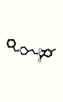 Cc1ccc2c(=O)n(CCC3CCN(Cc4ccccc4)CC3)oc2c1